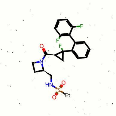 CCS(=O)(=O)NC[C@H]1CCN1C(=O)[C@@H]1C[C@@]1(F)c1ccccc1-c1c(F)cccc1F